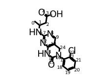 CC(CC(=O)O)Nc1ncc2c(n1)NC(=O)N(c1ccccc1Cl)C2